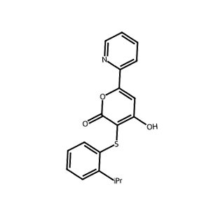 CC(C)c1ccccc1Sc1c(O)cc(-c2ccccn2)oc1=O